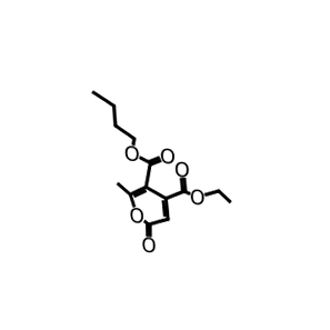 CCCCOC(=O)c1c(C(=O)OCC)cc(=O)oc1C